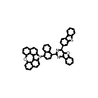 c1ccc2c(c1)oc1c(-c3ccc4c(c3)sc3ccccc34)nc(-c3ccc(-n4c5ccc6cccc7oc8cccc9ccc4c(c98)c5c67)c4ccccc34)nc12